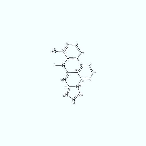 CN(c1ccccc1O)c1nc2nncn2c2ccccc12